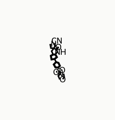 N#CN1CCC2(Cc3ccc(-c4ccc(S(=O)(=O)N5CCOCC5)cc4)cc3NC2=O)C1